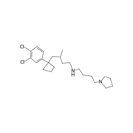 CC(CCNCCCCN1CCCC1)CC1(c2ccc(Cl)c(Cl)c2)CCC1